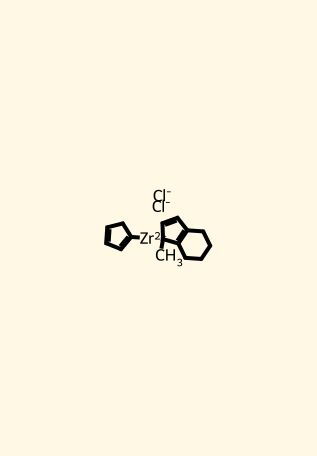 C[C]1([Zr+2][C]2=CC=CC2)C=CC2=C1CCCC2.[Cl-].[Cl-]